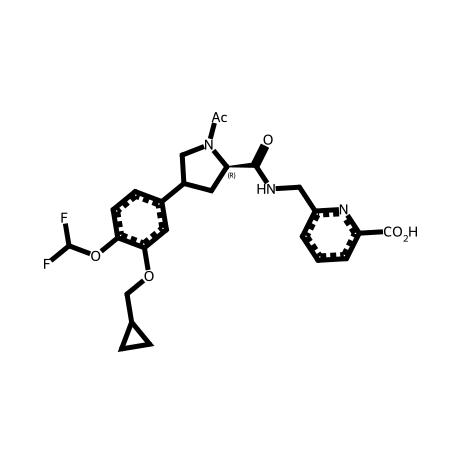 CC(=O)N1CC(c2ccc(OC(F)F)c(OCC3CC3)c2)C[C@@H]1C(=O)NCc1cccc(C(=O)O)n1